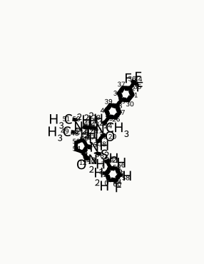 [2H]c1c([2H])c(C([2H])([2H])Sc2nc(=O)c3c(n2C([2H])([2H])C(=O)N(C([2H])(C)c2ccc(-c4ccc(C(F)(F)F)cc4)cc2)C([2H])([2H])C([2H])([2H])N(CC)CC)CCC3)c([2H])c([2H])c1F